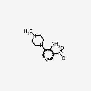 CN1CCN(c2cncc([N+](=O)[O-])c2N)CC1